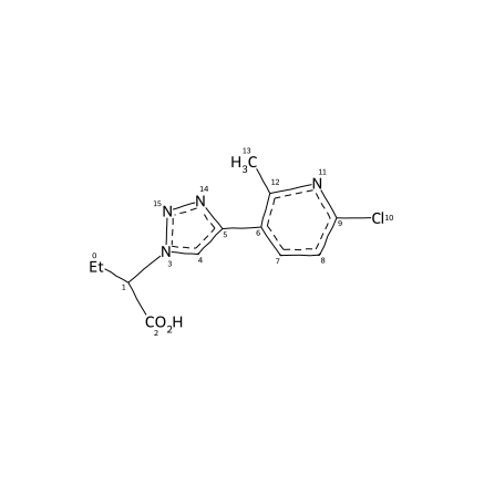 CCC(C(=O)O)n1cc(-c2ccc(Cl)nc2C)nn1